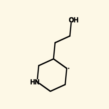 OCCC1[CH]CCNC1